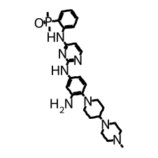 CN1CCN(C2CCN(c3ccc(Nc4nccc(Nc5ccccc5P(C)(C)=O)n4)cc3N)CC2)CC1